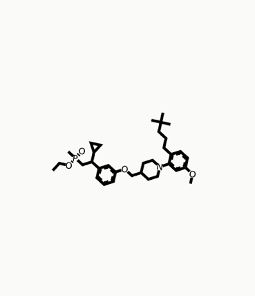 CCOP(C)(=O)CC(c1cccc(OCC2CCN(c3cc(OC)ccc3CCCC(C)(C)C)CC2)c1)C1CC1